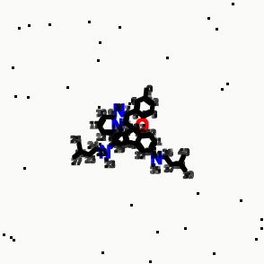 Cc1ccc2c(c1)-c1nc3ccccn3c1C1(O2)c2ccc(N(C)CCC(C)C)cc2-c2cc(N(C)CCC(C)C)ccc21